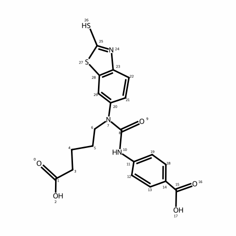 O=C(O)CCCCN(C(=O)Nc1ccc(C(=O)O)cc1)c1ccc2nc(S)sc2c1